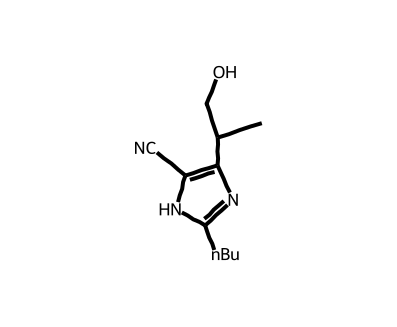 CCCCc1nc(C(C)CO)c(C#N)[nH]1